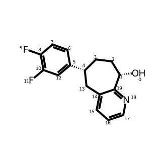 O[C@H]1CC[C@@H](c2ccc(F)c(F)c2)Cc2cccnc21